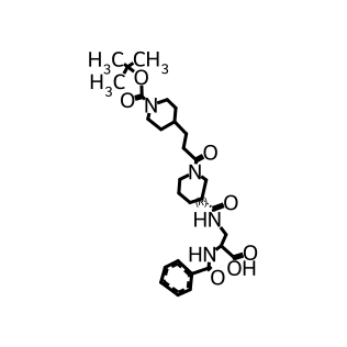 CC(C)(C)OC(=O)N1CCC(CCC(=O)N2CCC[C@@H](C(=O)NCC(NC(=O)c3ccccc3)C(=O)O)C2)CC1